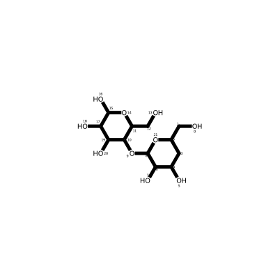 OCC1CC(O)C(O)C(OC2C(CO)OC(O)C(O)C2O)O1